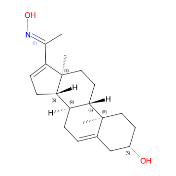 C/C(=N\O)C1=CC[C@H]2[C@@H]3CC=C4C[C@@H](O)CC[C@]4(C)[C@H]3CC[C@]12C